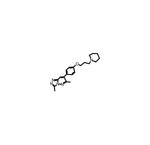 Cc1nn2c(C)nnc2cc1-c1ccc(OCCCN2CCCCC2)cc1